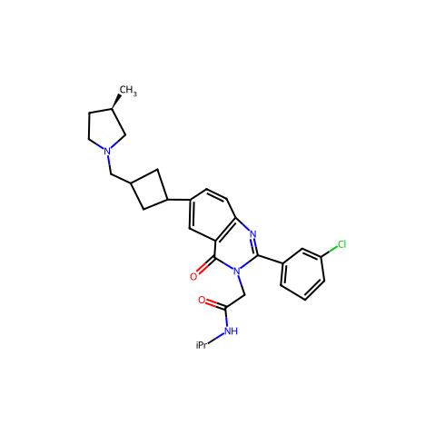 CC(C)NC(=O)Cn1c(-c2cccc(Cl)c2)nc2ccc(C3CC(CN4CC[C@@H](C)C4)C3)cc2c1=O